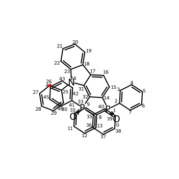 O=P(c1ccccc1)(c1ccccc1)c1ccc2c3ccccc3n(-c3ccccc3)c2c1P(=O)(c1ccccc1)c1ccccc1